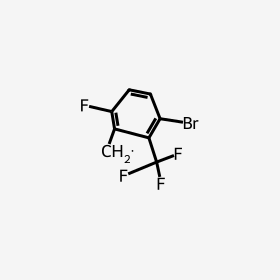 [CH2]c1c(F)ccc(Br)c1C(F)(F)F